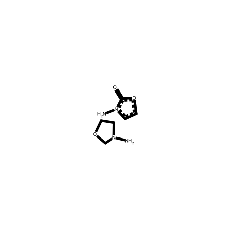 NN1CCOC1.Nn1ccoc1=O